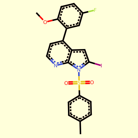 COc1ccc(F)cc1-c1ccnc2c1cc(I)n2S(=O)(=O)c1ccc(C)cc1